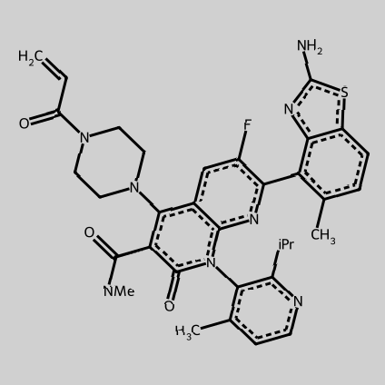 C=CC(=O)N1CCN(c2c(C(=O)NC)c(=O)n(-c3c(C)ccnc3C(C)C)c3nc(-c4c(C)ccc5sc(N)nc45)c(F)cc23)CC1